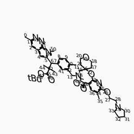 Cc1cc2cc(C(c3ccc(C)c(CN4CC5(CCOCC5)Oc5nc(OCCN6CCCC6)c(C)cc5S4(=O)=O)c3)C(C)(C)C(=O)OC(C)(C)C)n(C)c2nn1